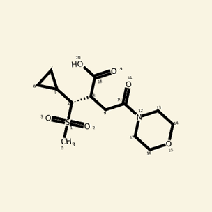 CS(=O)(=O)[C@H](C1CC1)C(CC(=O)N1CCOCC1)C(=O)O